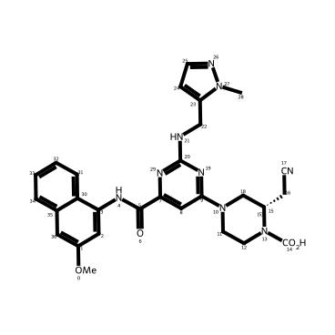 COc1cc(NC(=O)c2cc(N3CCN(C(=O)O)[C@@H](CC#N)C3)nc(NCc3ccnn3C)n2)c2ccccc2c1